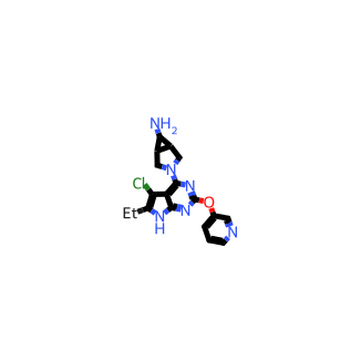 CCc1[nH]c2nc(Oc3cccnc3)nc(N3CC4C(N)C4C3)c2c1Cl